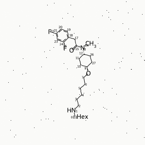 CCCCCCNCCCCCCO[C@H]1CC[C@H](N(C)C(=O)Cc2ccc(F)cc2F)CC1